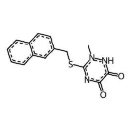 Cn1[nH]c(=O)c(=O)nc1SCc1ccc2ccccc2c1